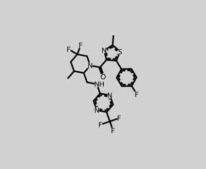 Cc1nc(C(=O)N2CC(F)(F)CC(C)C2CNc2cnc(C(F)(F)F)cn2)c(-c2ccc(F)cc2)s1